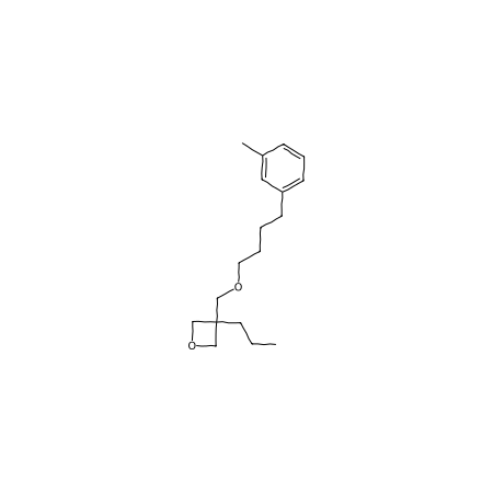 CCCC1(COCCCCc2cccc(C)c2)COC1